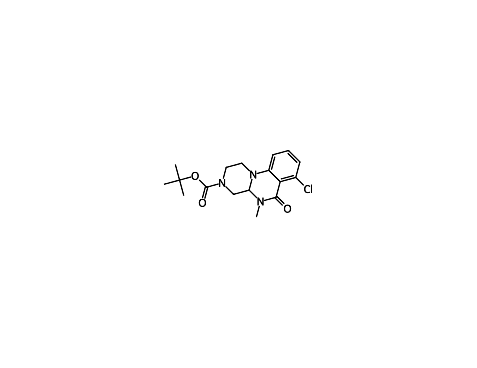 CN1C(=O)c2c(Cl)cccc2N2CCN(C(=O)OC(C)(C)C)CC12